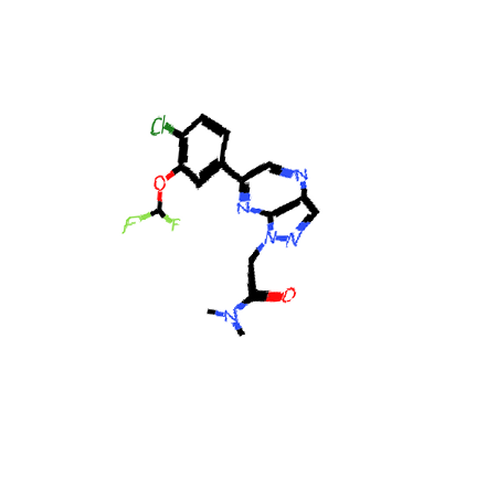 CN(C)C(=O)Cn1ncc2ncc(-c3ccc(Cl)c(OC(F)F)c3)nc21